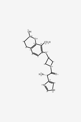 N[C@H](C(=O)N1CC(Oc2ccc3c(c2C(=O)O)OB(O)CC3)C1)c1c[nH]cn1